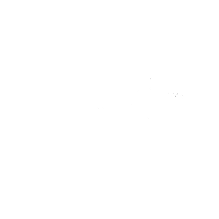 CSC(CCc1cc(-c2ccccc2)ccc1-c1cccc(OCc2ccccc2)c1)[S+](C)[O-]